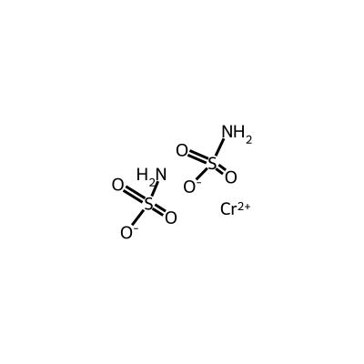 NS(=O)(=O)[O-].NS(=O)(=O)[O-].[Cr+2]